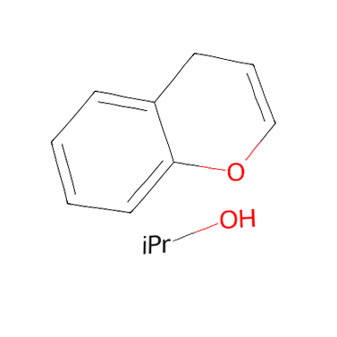 C1=COc2ccccc2C1.CC(C)O